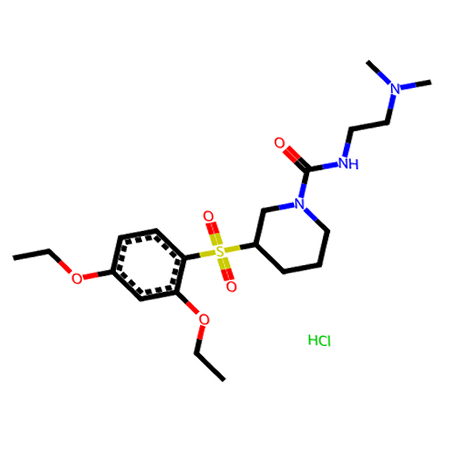 CCOc1ccc(S(=O)(=O)C2CCCN(C(=O)NCCN(C)C)C2)c(OCC)c1.Cl